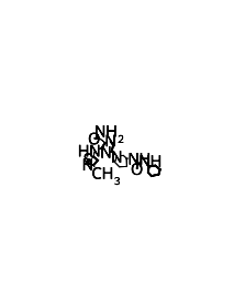 Cc1cc(Nc2nc(N3CCC[C@@H](NC(=O)Nc4ccccc4)C3)cnc2C(N)=O)sn1